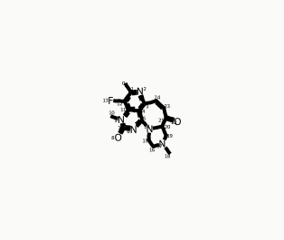 Cc1nc2c3c(nc(=O)n(C)c3c1F)N1CCN(C)CC1C(=O)/C=C\2